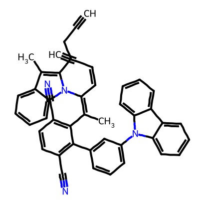 C#C/C=C\C(=C(/C)c1c(C#N)ccc(C#N)c1-c1cccc(-n2c3ccccc3c3ccccc32)c1)n1c(CCC#C)c(C)c2ccccc21